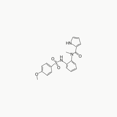 COc1ccc(S(=O)(=O)Nc2ccccc2N(C)C(=O)c2ccc[nH]2)cc1